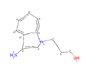 Nc1cn(CCCO)c2ccccc12